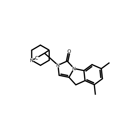 Cc1cc(C)c2c(c1)-n1c(cn(C3CN4CCC3CC4)c1=O)C2